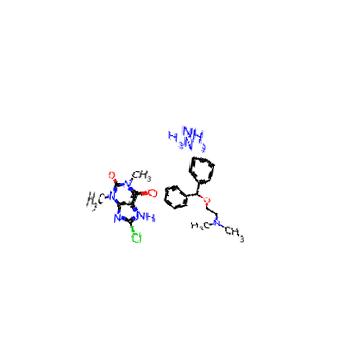 CN(C)CCOC(c1ccccc1)c1ccccc1.Cn1c(=O)c2[nH]c(Cl)nc2n(C)c1=O.N.N